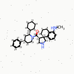 CNc1cccc2c1CCC[C@]21CNC[C@H]1C(=O)N1CC[C@@H](c2ccccc2)C[C@H]1C1CCCCC1